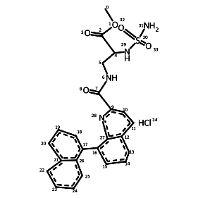 COC(=O)C(CNC(=O)c1ccc2cccc(-c3cccc4ccccc34)c2n1)NS(N)(=O)=O.Cl